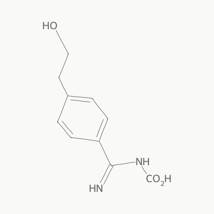 N=C(NC(=O)O)c1ccc(CCO)cc1